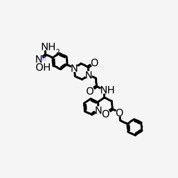 N/C(=N/O)c1ccc(N2CCN(CC(=O)NC(CC(=O)OCc3ccccc3)c3ccccn3)C(=O)C2)cc1